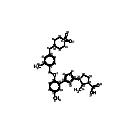 Cc1ccc(OCc2ccc(CN3CCS(=O)(=O)CC3)cc2C)c(-c2csc(N3CC[C@@H](C(=O)O)C3C)n2)c1